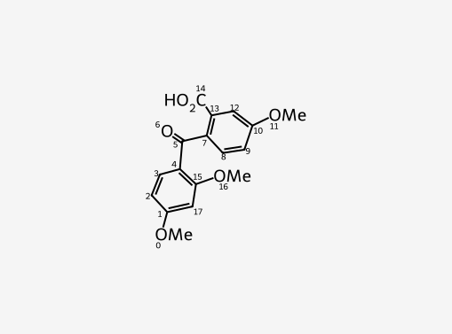 COc1ccc(C(=O)c2ccc(OC)cc2C(=O)O)c(OC)c1